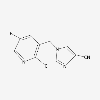 N#Cc1cn(Cc2cc(F)cnc2Cl)cn1